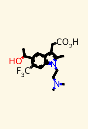 Cc1c(CC(=O)O)c2cc(C(C)O)c(C(F)(F)F)cc2n1CCN(C)C